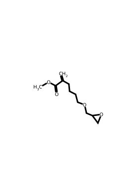 C=C(CCCCOCC1CO1)C(=O)OC